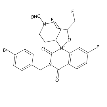 O=CN1CCC([N+]2(OC(CF)CF)C(=O)N(Cc3ccc(Br)cc3)C(=O)c3ccc(F)cc32)CC1